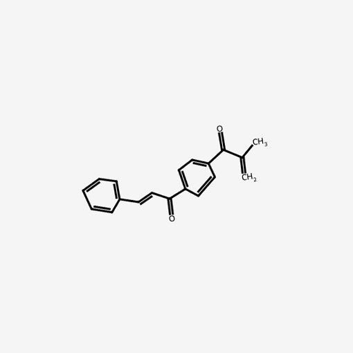 C=C(C)C(=O)c1ccc(C(=O)C=Cc2ccccc2)cc1